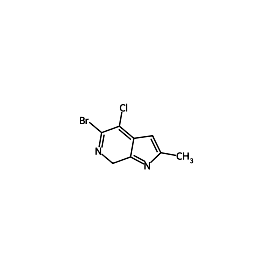 CC1=CC2=C(Cl)C(Br)=NCC2=N1